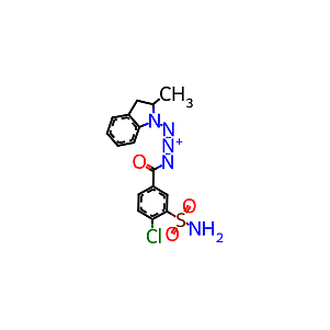 CC1Cc2ccccc2N1N=[N+]=NC(=O)c1ccc(Cl)c(S(N)(=O)=O)c1